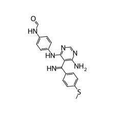 CSc1ccc(C(=N)c2c(N)ncnc2Nc2ccc(NC=O)cc2)cc1